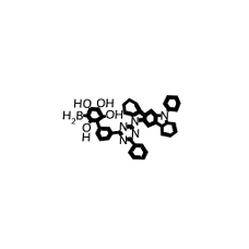 Bc1c(O)c(O)c(O)c(-c2cccc(-c3nc(-c4ccccc4)nc(-n4c5c(c6cc7c(cc64)C4C=CC=CC4N7c4ccccc4)=CCCC=5)n3)c2)c1O